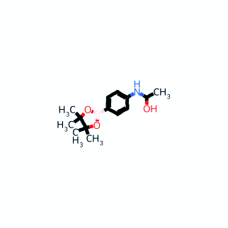 CC(O)Nc1ccc(B2OC(C)(C)C(C)(C)O2)cc1